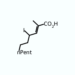 CCCCCCCC(I)C=C(C)C(=O)O